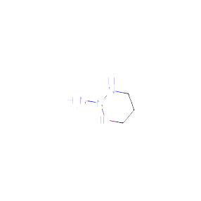 NN1NCCCP1